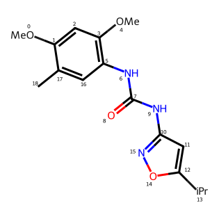 COc1cc(OC)c(NC(=O)Nc2cc(C(C)C)on2)cc1C